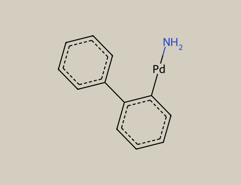 [NH2][Pd][c]1ccccc1-c1ccccc1